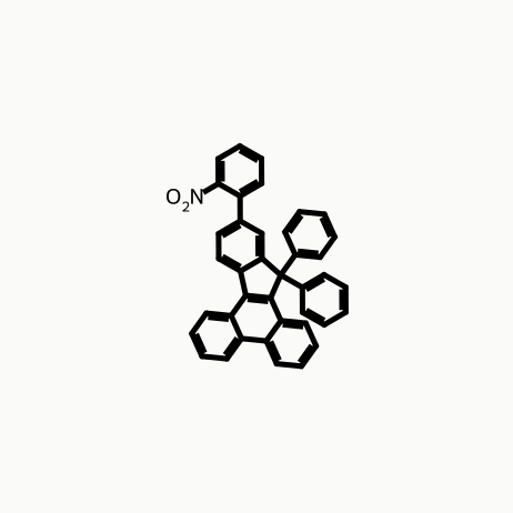 O=[N+]([O-])c1ccccc1-c1ccc2c(c1)C(c1ccccc1)(c1ccccc1)c1c-2c2ccccc2c2ccccc12